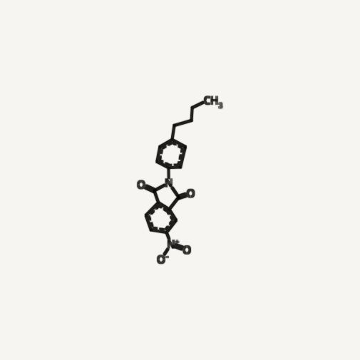 CCCCc1ccc(N2C(=O)c3ccc([N+](=O)[O-])cc3C2=O)cc1